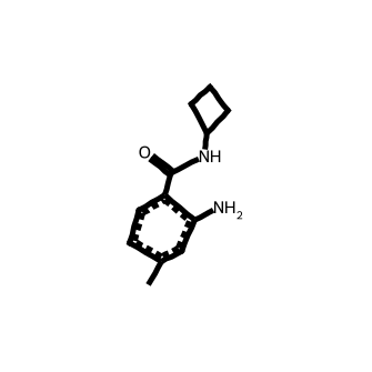 Cc1ccc(C(=O)NC2CCC2)c(N)c1